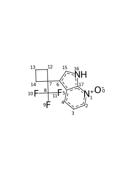 [O-][n+]1cccc2c(C3(C(F)(F)F)CCC3)c[nH]c21